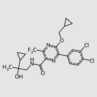 CC(O)(CNC(=O)c1nc(-c2ccc(Cl)c(Cl)c2)c(OCC2CC2)nc1C(F)(F)F)C1CC1